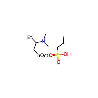 CCCCCCCCCC(CC)N(C)C.CCCS(=O)(=O)O